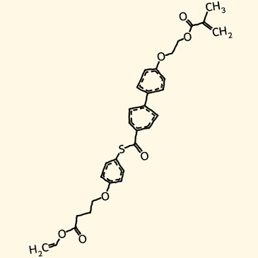 C=COC(=O)CCCOc1ccc(SC(=O)c2ccc(-c3ccc(OCCOC(=O)C(=C)C)cc3)cc2)cc1